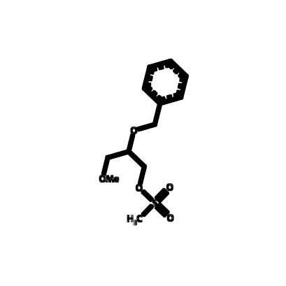 COCC(COS(C)(=O)=O)OCc1ccccc1